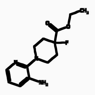 CCOC(=O)C1(F)CCN(c2ncccc2N)CC1